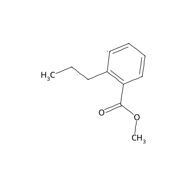 CCCc1[c]cccc1C(=O)OC